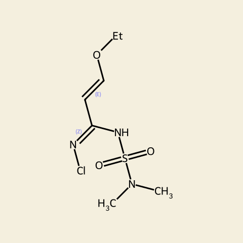 CCO/C=C/C(=N/Cl)NS(=O)(=O)N(C)C